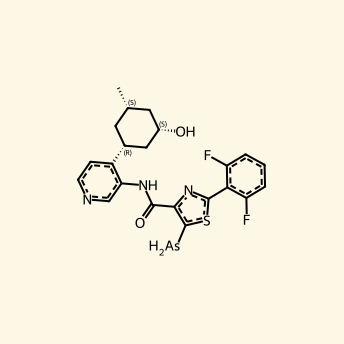 C[C@@H]1C[C@H](O)C[C@H](c2ccncc2NC(=O)c2nc(-c3c(F)cccc3F)sc2[AsH2])C1